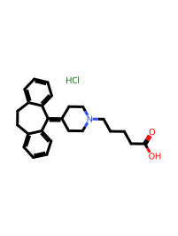 Cl.O=C(O)CCCCN1CCC(=C2c3ccccc3CCc3ccccc32)CC1